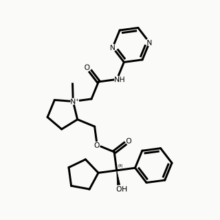 C[N+]1(CC(=O)Nc2cnccn2)CCCC1COC(=O)[C@](O)(c1ccccc1)C1CCCC1